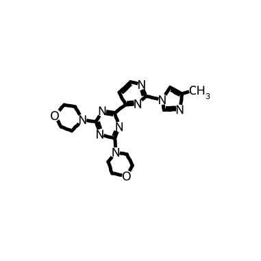 Cc1cn(-c2nccc(-c3nc(N4CCOCC4)nc(N4CCOCC4)n3)n2)cn1